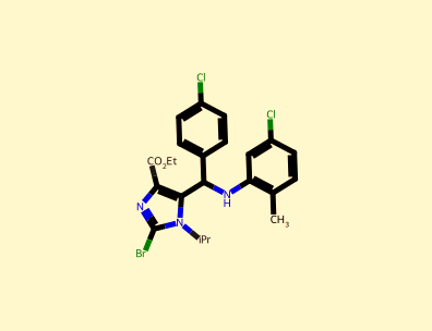 CCOC(=O)c1nc(Br)n(C(C)C)c1C(Nc1cc(Cl)ccc1C)c1ccc(Cl)cc1